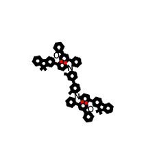 Cc1cc(-c2ccc(N(c3ccc(-c4ccc5c(c4)C(C)(C)c4ccccc4-5)cc3)c3ccccc3-c3ccc4oc5ccccc5c4c3)c(C)c2)ccc1N(c1ccc(-c2ccc3c(c2)C(C)(C)c2ccccc2-3)cc1)c1ccccc1-c1ccc2oc3ccccc3c2c1